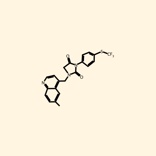 Cc1ccc2nccc(CN3CC(=O)N(c4ccc(SC(F)(F)F)cc4)C3=O)c2c1